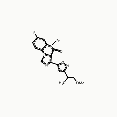 COCC(C)c1noc(-c2ncn3c2c(=O)n(C(C)C)c2cc(F)ccc23)n1